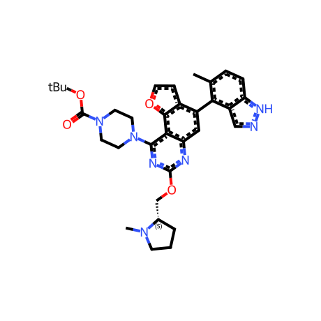 Cc1ccc2[nH]ncc2c1-c1cc2nc(OC[C@@H]3CCCN3C)nc(N3CCN(C(=O)OC(C)(C)C)CC3)c2c2occc12